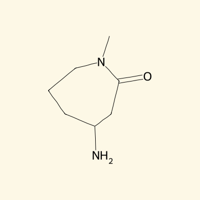 CN1CCCC(N)CC1=O